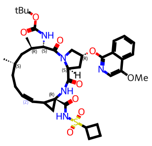 COc1cnc(O[C@@H]2C[C@H]3C(=O)N[C@]4(C(=O)NS(=O)(=O)C5CCC5)CC4/C=C\CC[C@H](C)C[C@@H](C)[C@H](NC(=O)OC(C)(C)C)C(=O)N3C2)c2ccccc12